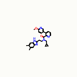 COc1ccc(-c2cccnc2C(=O)N(CCc2nc3cc(C)c(C)cc3[nH]2)CC2CC2)cn1